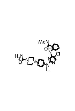 CNC(=O)c1ccccc1Nc1nc(Nc2ccc(N3CCN(C(N)=O)CC3)cc2)ncc1Cl